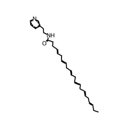 CCC=CCC=CCC=CCC=CCC=CCC=CCCC(=O)NCCc1cccnc1